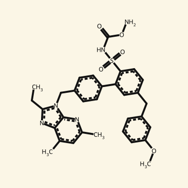 CCc1nc2c(C)cc(C)nc2n1Cc1ccc(-c2cc(Cc3cccc(OC)c3)ccc2S(=O)(=O)NC(=O)ON)cc1